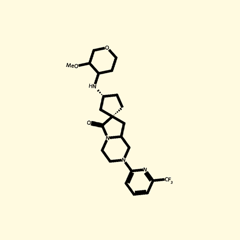 COC1COCCC1N[C@@H]1CC[C@@]2(CC3CN(c4cccc(C(F)(F)F)n4)CCN3C2=O)C1